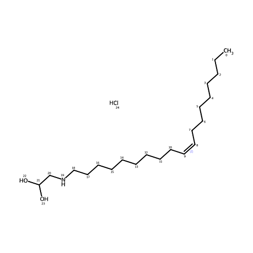 CCCCCCCC/C=C\CCCCCCCCCNCC(O)O.Cl